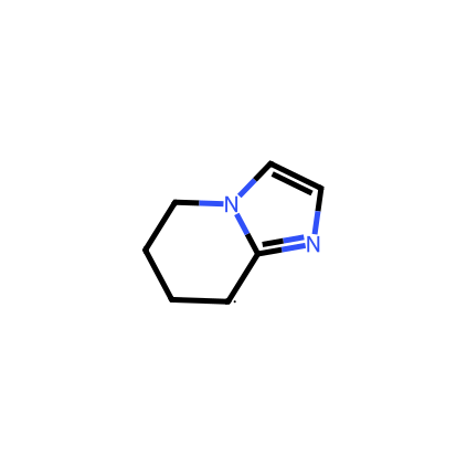 [CH]1CCCn2ccnc21